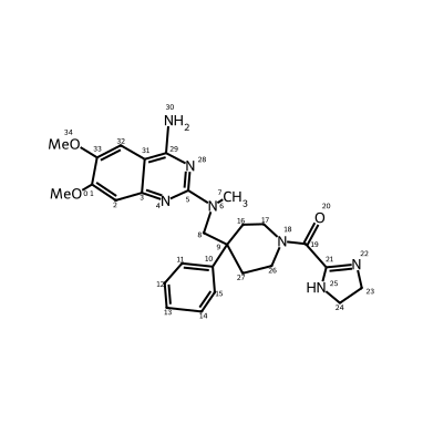 COc1cc2nc(N(C)CC3(c4ccccc4)CCN(C(=O)C4=NCCN4)CC3)nc(N)c2cc1OC